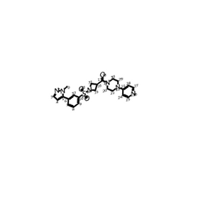 Cn1nccc1-c1cccc(S(=O)(=O)N2CC(C(=O)N3CCN(c4ccncc4)CC3)C2)c1